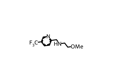 COCCNCc1ccc(C(F)(F)F)cn1